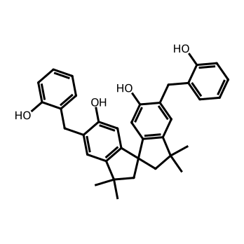 CC1(C)CC2(CC(C)(C)c3cc(Cc4ccccc4O)c(O)cc32)c2cc(O)c(Cc3ccccc3O)cc21